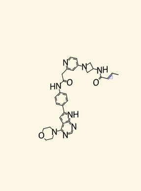 C/C=C/C(=O)NC1CN(c2ccnc(CC(=O)Nc3ccc(-c4cc5c(N6CCOCC6)ncnc5[nH]4)cc3)c2)C1